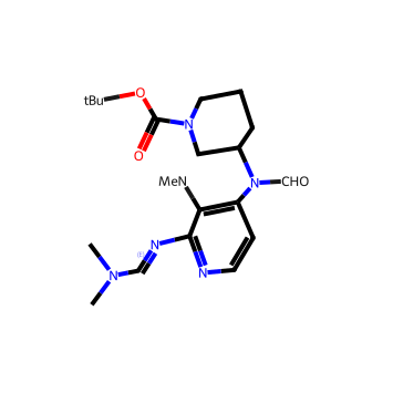 CNc1c(N(C=O)C2CCCN(C(=O)OC(C)(C)C)C2)ccnc1/N=C/N(C)C